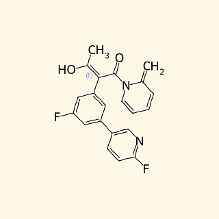 C=C1C=CC=CN1C(=O)/C(=C(\C)O)c1cc(F)cc(-c2ccc(F)nc2)c1